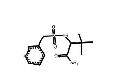 CC(C)(C)C(NS(=O)(=O)Cc1ccccc1)C(N)=O